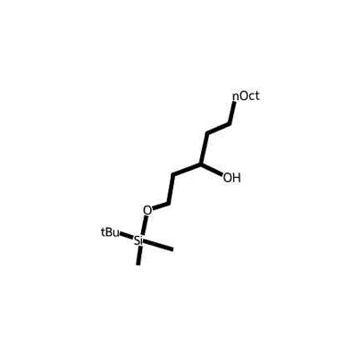 CCCCCCCCCCC(O)CCO[Si](C)(C)C(C)(C)C